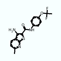 Cc1ccc2c(N)c(C(=O)Nc3ccc(OC(C)(F)F)cc3)sc2n1